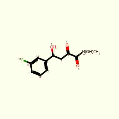 CN(O)C(=O)C(=O)CC(O)c1cccc(F)c1